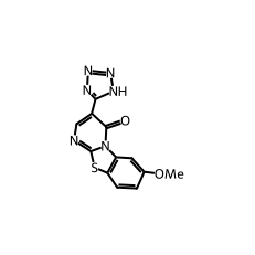 COc1ccc2sc3ncc(-c4nnn[nH]4)c(=O)n3c2c1